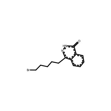 O=c1[nH]nc(CCCCCBr)c2ccccc12